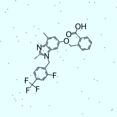 Cc1cc(OCc2ccccc2C(=O)O)cc2c1nc(C)n2Cc1ccc(C(F)(F)F)cc1F